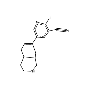 N#Cc1cc(C2=CCC3CCNCC3C2)cnc1Cl